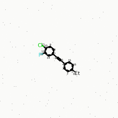 CCc1ccc(C#Cc2ccc(Cl)c(F)c2)cc1